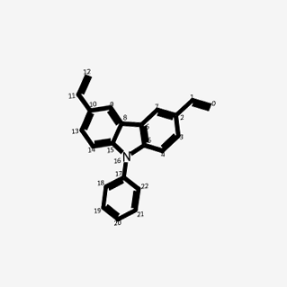 C=Cc1ccc2c(c1)c1cc(C=C)ccc1n2-c1ccccc1